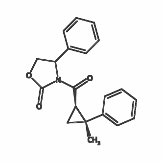 C[C@@]1(c2ccccc2)C[C@H]1C(=O)N1C(=O)OCC1c1ccccc1